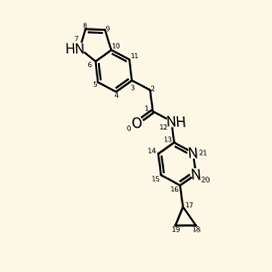 O=C(Cc1ccc2[nH]ccc2c1)Nc1ccc(C2CC2)nn1